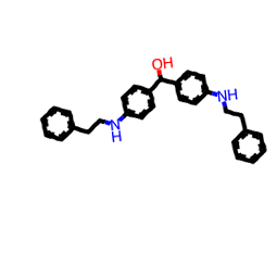 OC(c1ccc(NCCc2ccccc2)cc1)c1ccc(NCCc2ccccc2)cc1